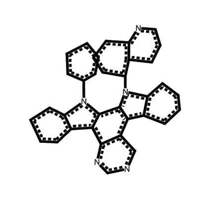 c1ccc(-n2c3ccccc3c3c4ncncc4c4c5ccccc5n(-c5cccc6ncccc56)c4c32)cc1